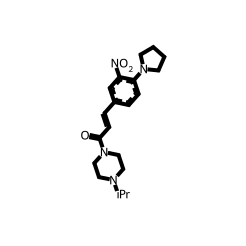 CC(C)N1CCN(C(=O)C=Cc2ccc(N3CCCC3)c([N+](=O)[O-])c2)CC1